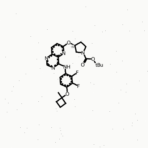 CC(C)(C)OC(=O)N1CC[C@H](Oc2ccc3ncnc(Nc4ccc(OC5(C)CCC5)c(F)c4F)c3n2)C1